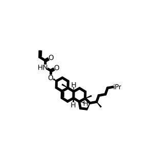 C=CC(=O)NC(=O)O[C@H]1CC[C@@]2(C)C(=CC[C@H]3[C@@H]4CC[C@H]([C@H](C)CCCC(C)C)[C@@]4(C)CC[C@@H]32)C1